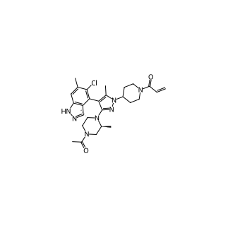 C=CC(=O)N1CCC(n2nc(N3[C@@H](C)CN(C(C)=O)C[C@@H]3C)c(-c3c(Cl)c(C)cc4[nH]ncc34)c2C)CC1